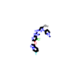 CN1CC[C@H](n2nc(Nc3nc4ncc(Oc5cnn6cc(F)ccc56)c(Cl)c4n3C)cc2C(C)(C)C)C1